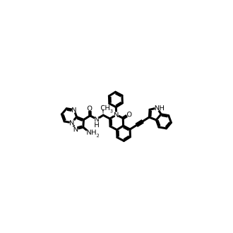 C[C@@H](NC(=O)c1c(N)nn2cccnc12)c1cc2cccc(C#Cc3c[nH]c4ccccc34)c2c(=O)n1-c1ccccc1